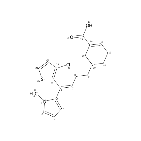 Cn1cccc1C(=CCCN1CCC=C(C(=O)O)C1)c1sccc1Cl